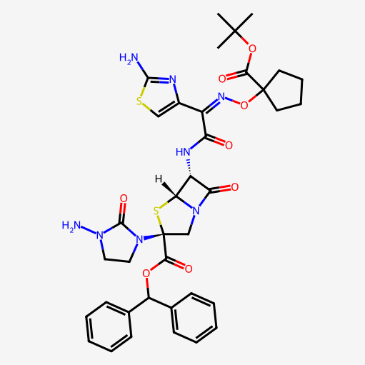 CC(C)(C)OC(=O)C1(O/N=C(\C(=O)N[C@@H]2C(=O)N3C[C@@](C(=O)OC(c4ccccc4)c4ccccc4)(N4CCN(N)C4=O)S[C@H]23)c2csc(N)n2)CCCC1